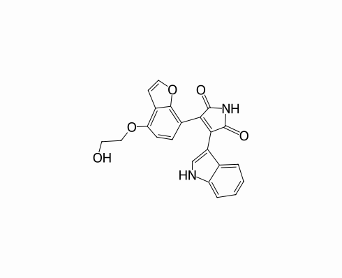 O=C1NC(=O)C(c2ccc(OCCO)c3ccoc23)=C1c1c[nH]c2ccccc12